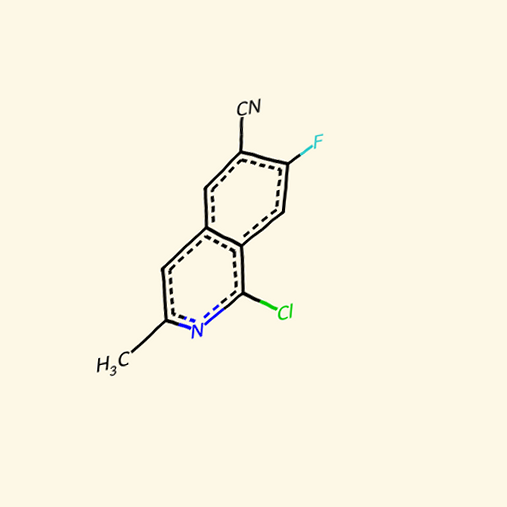 Cc1cc2cc(C#N)c(F)cc2c(Cl)n1